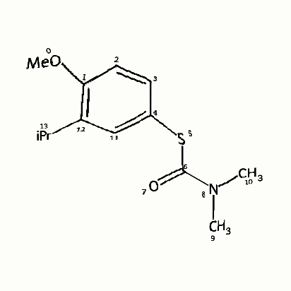 COc1ccc(SC(=O)N(C)C)cc1C(C)C